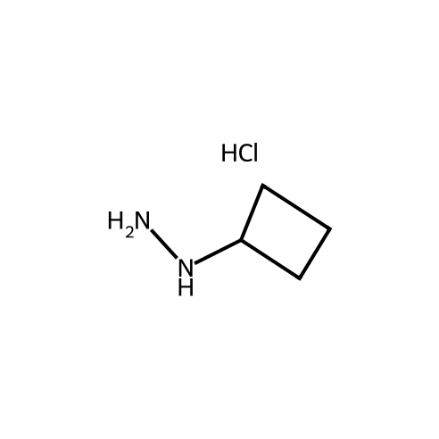 Cl.NNC1CCC1